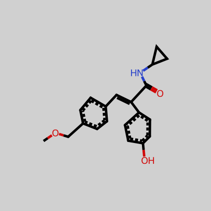 COCc1ccc(/C=C(/C(=O)NC2CC2)c2ccc(O)cc2)cc1